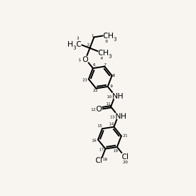 CCC(C)(C)Oc1ccc(NC(=O)Nc2ccc(Cl)c(Cl)c2)cc1